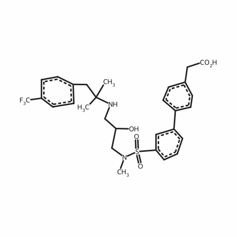 CN(CC(O)CNC(C)(C)Cc1ccc(C(F)(F)F)cc1)S(=O)(=O)c1cccc(-c2ccc(CC(=O)O)cc2)c1